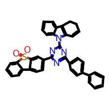 O=S1(=O)c2ccccc2-c2ccc(-c3nc(-c4ccc(-c5ccccc5)cc4)nc(-n4c5c(c6ccccc64)CCC=C5)n3)cc21